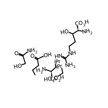 CC(C)CC(=O)O.CC(C)C[C@H](N)C(=O)O.CCCC(=O)O.N=C(N)NCCC(O)[C@H](N)C(=O)O.NC(=O)CO